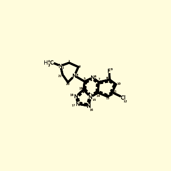 CN1CCN(c2nc3c(F)cc(Cl)cc3n3nnnc23)CC1